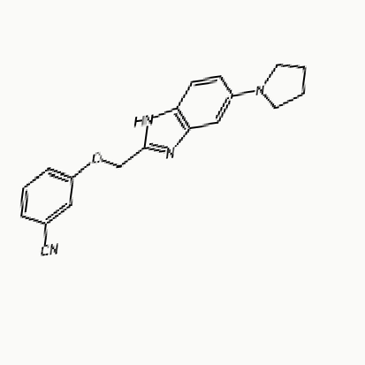 N#Cc1cccc(OCc2nc3cc(N4CCCC4)ccc3[nH]2)c1